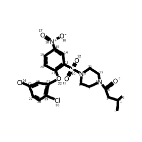 CC(C)CC(=O)N1CCN(S(=O)(=O)c2cc([N+](=O)[O-])ccc2Oc2cc(Cl)ccc2Cl)CC1